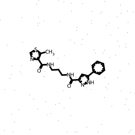 Cc1scnc1C(=O)NCCCNC(=O)c1cc(-c2ccccc2)[nH]n1